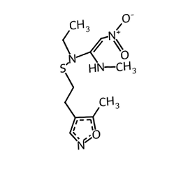 CCN(SCCc1cnoc1C)C(=C[N+](=O)[O-])NC